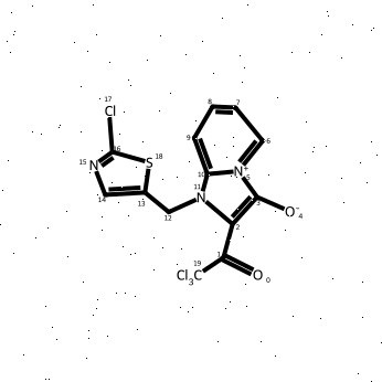 O=C(c1c([O-])[n+]2ccccc2n1Cc1cnc(Cl)s1)C(Cl)(Cl)Cl